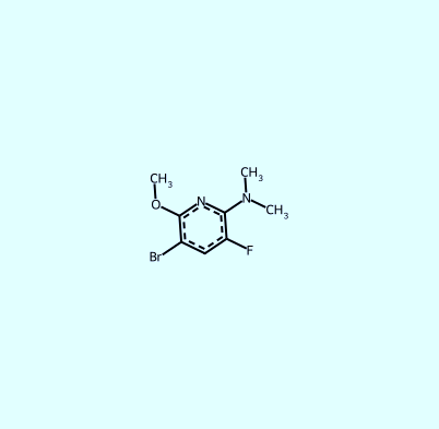 COc1nc(N(C)C)c(F)cc1Br